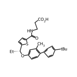 CC[C@@H](Oc1ccc(-c2ccc(C(C)(C)C)cc2)c(C)c1)c1ccc(C(=O)NCCC(=O)O)s1